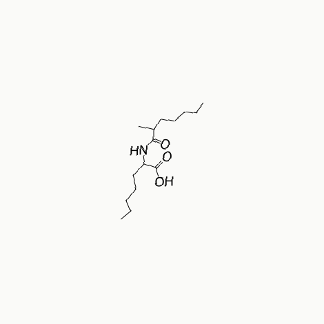 CCCCCC(C)C(=O)NC(CCCCC)C(=O)O